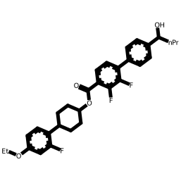 CCCC(O)c1ccc(-c2ccc(C(=O)OC3CCC(c4ccc(OCC)cc4F)CC3)c(F)c2F)cc1